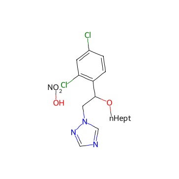 CCCCCCCOC(Cn1cncn1)c1ccc(Cl)cc1Cl.O=[N+]([O-])O